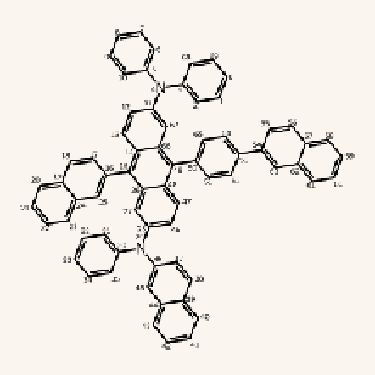 c1ccc(N(c2ccccc2)c2ccc3c(-c4ccc5ccccc5c4)c4cc(N(c5ccccc5)c5ccc6ccccc6c5)ccc4c(-c4ccc(-c5ccc6ccccc6c5)cc4)c3c2)cc1